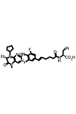 CC[C@@H]1C(=O)N(C)c2cnc(Nc3c(F)cc(/C=C/CCCC(=O)N[C@@H](CC(C)C)C(=O)O)cc3F)nc2N1C1CCCC1